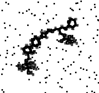 CC(C)(C)C(=O)OCC(CON=C1CN(c2ncc(-c3cccc(CO[Si](C)(C)C(C)(C)C)c3F)cn2)C1)COC1CCCCO1